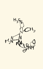 Cc1cc(-c2cnc(N)c(-n3cc(S(=O)(=O)NC4CCOCC4)cn3)n2)cc2c1CCN(C)C2